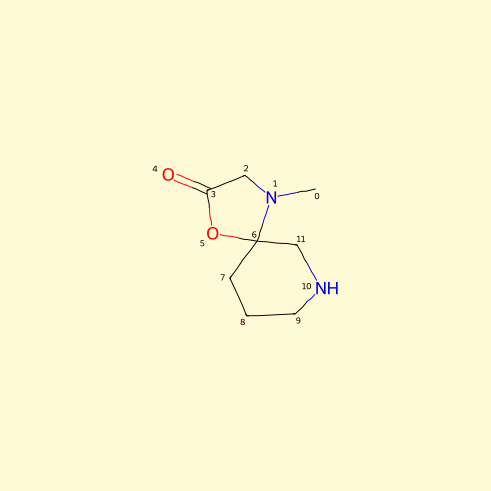 CN1CC(=O)OC12CCCNC2